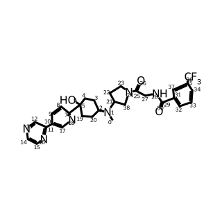 CN(C1CCC(O)(c2ccc(-c3cnccn3)cn2)CC1)C1CCN(C(=O)CNC(=O)c2cccc(C(F)(F)F)c2)C1